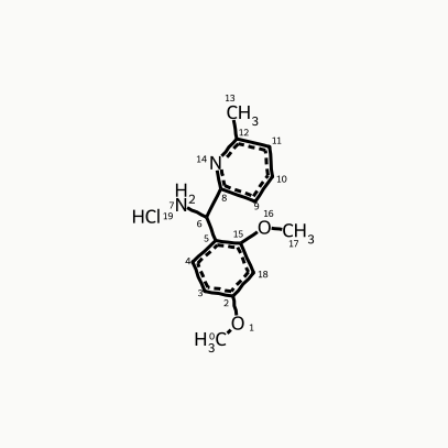 COc1ccc(C(N)c2cccc(C)n2)c(OC)c1.Cl